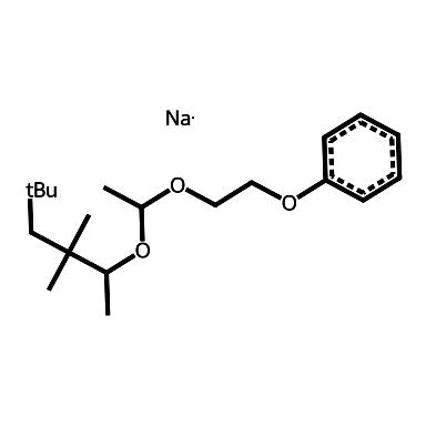 CC(OCCOc1ccccc1)OC(C)C(C)(C)CC(C)(C)C.[Na]